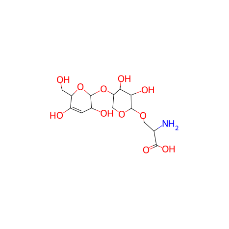 NC(COC1OCC(OC2OC(CO)C(O)=CC2O)C(O)C1O)C(=O)O